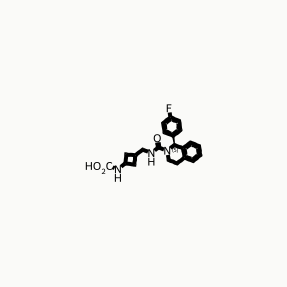 O=C(O)NC1CC(CNC(=O)N2CCc3ccccc3[C@@H]2c2ccc(F)cc2)C1